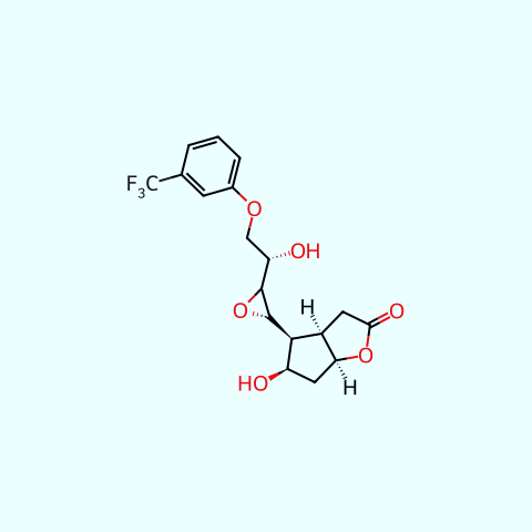 O=C1C[C@@H]2[C@H]([C@@H]3OC3[C@@H](O)COc3cccc(C(F)(F)F)c3)[C@H](O)C[C@@H]2O1